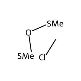 CCl.CSOSC